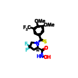 COc1cc(C(=S)N2CC(F)(F)C[C@@H]2C(=O)NO)cc(C(F)(F)F)c1OC